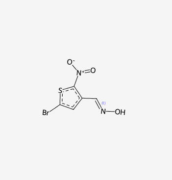 O=[N+]([O-])c1sc(Br)cc1/C=N/O